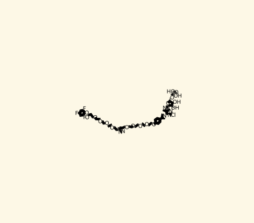 O=C(CCOCCOCCOCCOCCn1cc(COCCOCCOCCOCCOc2ccc(C3CN(c4nc(Cl)nc5c4cnn5[C@@H]4O[C@H](COCP(=O)(O)O)[C@@H](O)[C@H]4O)C3)cc2)nn1)Oc1c(F)cc(F)cc1F